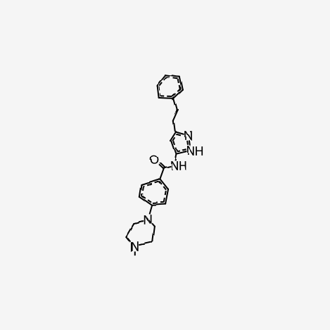 CN1CCN(c2ccc(C(=O)Nc3cc(CCc4ccccc4)n[nH]3)cc2)CC1